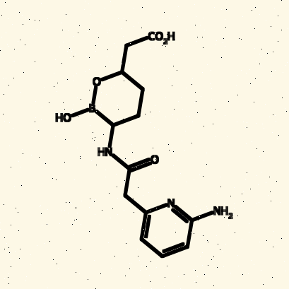 Nc1cccc(CC(=O)NC2CCC(CC(=O)O)OB2O)n1